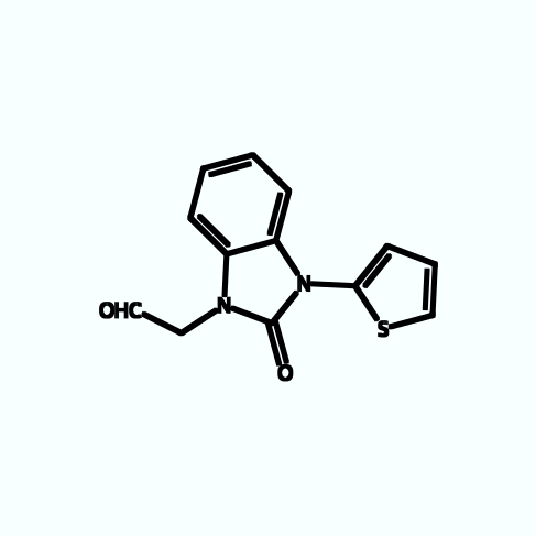 O=CCn1c(=O)n(-c2cccs2)c2ccccc21